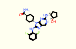 NC(=O)[C@H]1CC[C@H](n2c(Nc3c(F)cccc3F)nc3cnc(N[C@@H]4CCC[C@H]4O)nc32)CC1